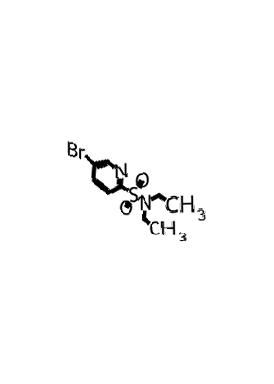 CCN(CC)S(=O)(=O)c1ccc(Br)cn1